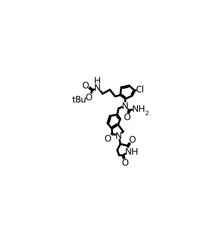 CC(C)(C)OC(=O)NCCCc1ccc(Cl)cc1N(Cc1ccc2c(c1)CN(C1CCC(=O)NC1=O)C2=O)C(N)=O